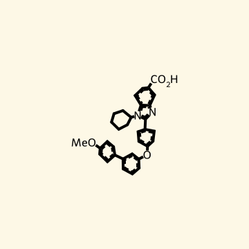 COc1ccc(-c2cccc(Oc3ccc(-c4nc5cc(C(=O)O)ccc5n4C4CCCCC4)cc3)c2)cc1